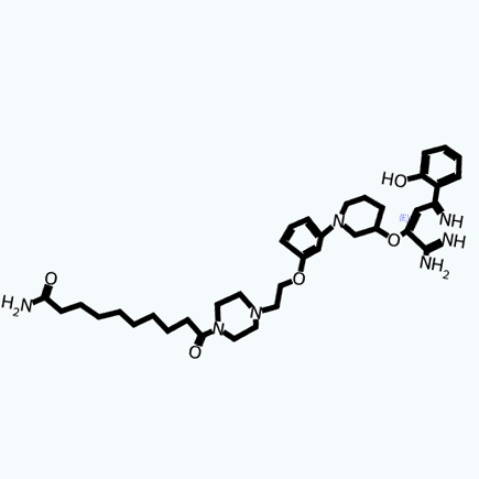 N=C(N)/C(=C\C(=N)c1ccccc1O)OC1CCCN(c2cccc(OCCN3CCN(C(=O)CCCCCCCCC(N)=O)CC3)c2)C1